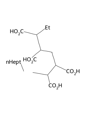 CCC(C(=O)O)C(CC(C(=O)O)C(C)C(=O)O)C(=O)O.CCCCCCCC